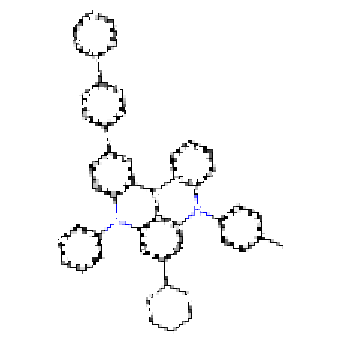 Cc1ccc(N2c3ccccc3B3c4cc(-c5ccc(-c6ccccc6)cc5)ccc4N(c4ccccc4)c4cc(C5CCCCC5)cc2c43)cc1